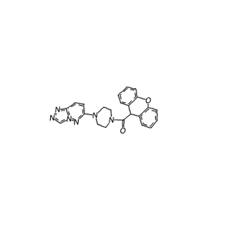 O=C(C1c2ccccc2Oc2ccccc21)N1CCN(c2ccc3nncn3n2)CC1